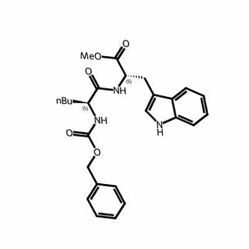 CCCC[C@H](NC(=O)OCc1ccccc1)C(=O)N[C@@H](Cc1c[nH]c2ccccc12)C(=O)OC